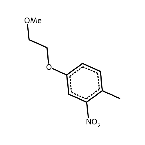 COCCOc1ccc(C)c([N+](=O)[O-])c1